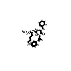 NCCCC[C@H](NC(=O)N[C@H](CC1CCCCC1)C(=O)NC1C[C@@H]1c1ccccc1)C(=O)O